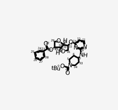 CC(C)(C)OC(=O)N1CCC(Nc2nccc(OC3CO[C@@H]4[C@@H](OC(=O)c5ccccc5)CO[C@H]34)n2)CC1